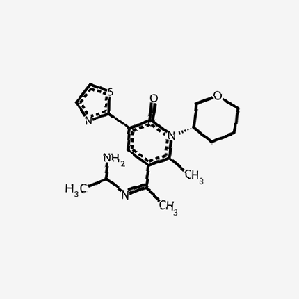 C/C(=N/C(C)N)c1cc(-c2nccs2)c(=O)n([C@H]2CCCOC2)c1C